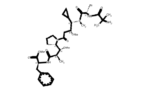 COC(=O)[C@H](Cc1ccccc1)NC(=O)[C@H](C)[C@@H](OC)[C@@H]1CCCN1C(=O)C[C@@H](OC)[C@H](C1CC1)N(C)C(=O)[C@@H](NC(=O)C(C)(C)N)C(C)C